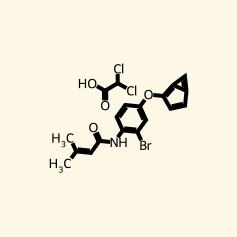 CC(C)=CC(=O)Nc1ccc(Oc2ccc3cc2-3)cc1Br.O=C(O)C(Cl)Cl